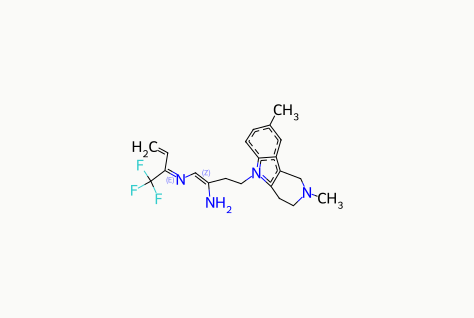 C=C/C(=N\C=C(/N)CCn1c2c(c3cc(C)ccc31)CN(C)CC2)C(F)(F)F